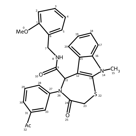 COc1ccccc1CNC(=O)C1c2c(n(C)c3ccccc23)SCC(=O)N1c1cccc(C(C)=O)c1